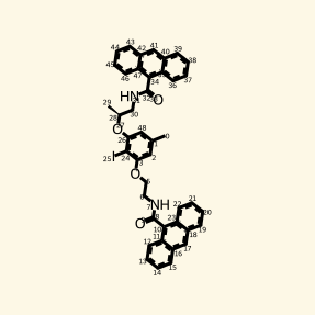 Cc1cc(OCCNC(=O)c2c3ccccc3cc3ccccc23)c(I)c(O[C@@H](C)CNC(=O)c2c3ccccc3cc3ccccc23)c1